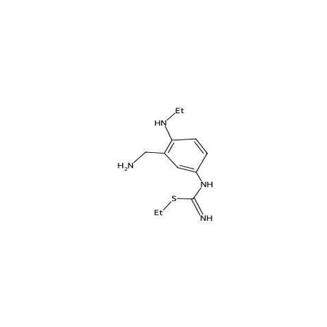 CCNc1ccc(NC(=N)SCC)cc1CN